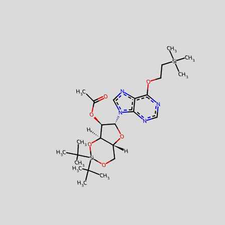 CC(=O)O[C@@H]1[C@@H]2O[Si](C(C)(C)C)(C(C)(C)C)OC[C@H]2O[C@H]1n1cnc2c(OCC[Si](C)(C)C)ncnc21